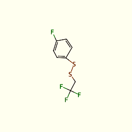 Fc1ccc(SSCC(F)(F)F)cc1